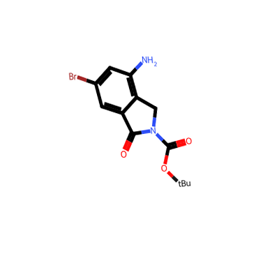 CC(C)(C)OC(=O)N1Cc2c(N)cc(Br)cc2C1=O